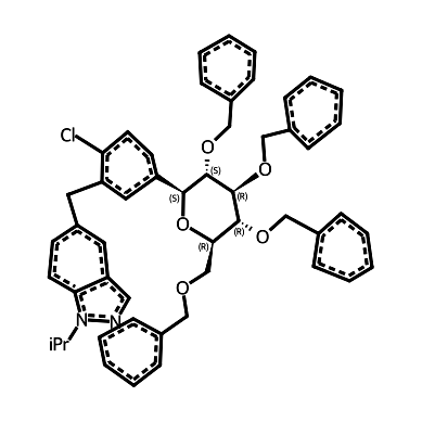 CC(C)n1ncc2cc(Cc3cc([C@@H]4O[C@H](COCc5ccccc5)[C@@H](OCc5ccccc5)[C@H](OCc5ccccc5)[C@H]4OCc4ccccc4)ccc3Cl)ccc21